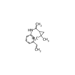 C=Cc1cccc(NC(=C)C2CC2(C)C)c1